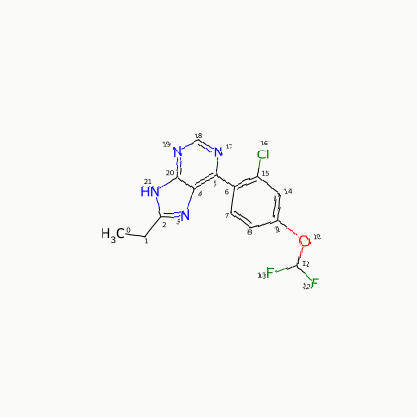 CCc1nc2c(-c3ccc(OC(F)F)cc3Cl)ncnc2[nH]1